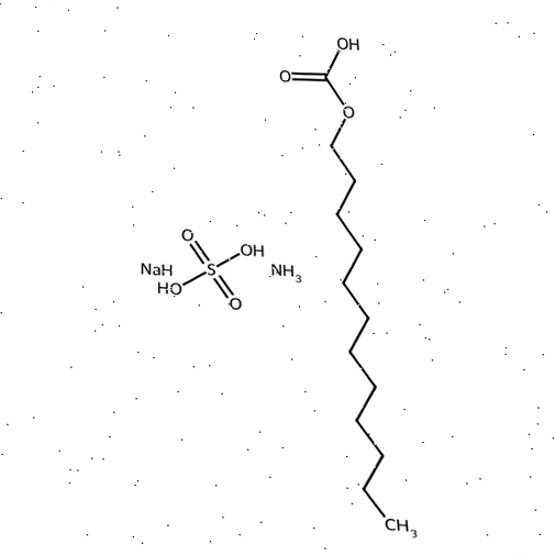 CCCCCCCCCCCCOC(=O)O.N.O=S(=O)(O)O.[NaH]